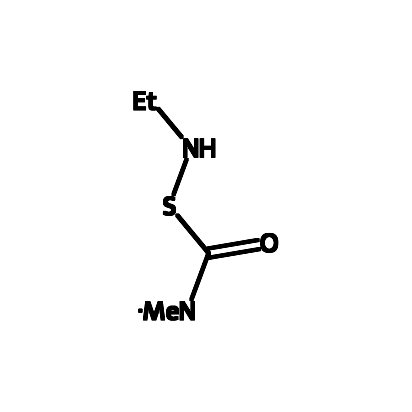 CCNSC(=O)[N]C